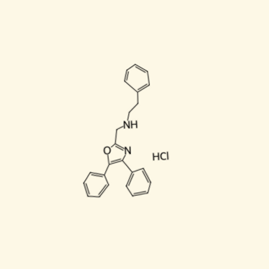 Cl.c1ccc(CCNCc2nc(-c3ccccc3)c(-c3ccccc3)o2)cc1